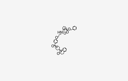 O=C(NCCCOc1ccc(C(=O)N2CCC(N3C(=O)CCc4ccccc43)CC2)cc1)[C@@H]1CCCN1C(=O)OCc1ccccc1